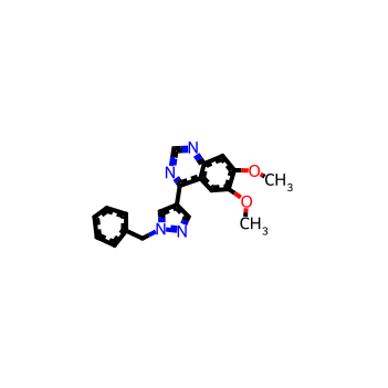 COc1cc2ncnc(-c3cnn(Cc4ccccc4)c3)c2cc1OC